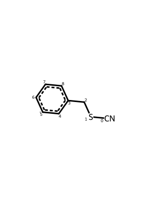 N#CSCc1c[c]ccc1